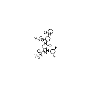 COc1cc(N2CCCCC2=O)ccc1N1CCc2c(C(N)=O)nn(-c3cc(F)cc(F)c3)c2C1=O